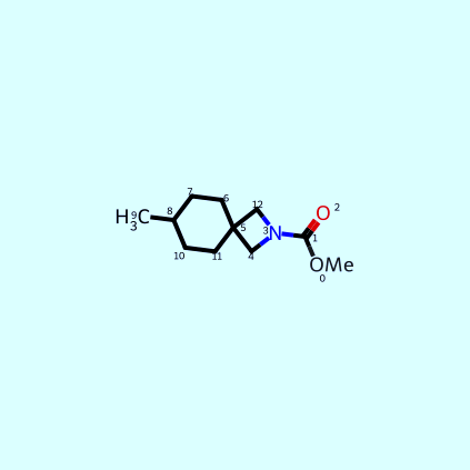 COC(=O)N1CC2(CCC(C)CC2)C1